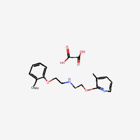 COc1ccccc1OCCNCCOc1ncccc1C.O=C(O)C(=O)O